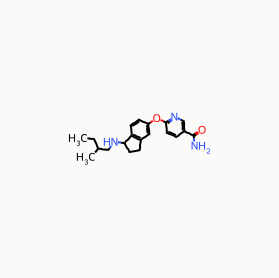 CCC(C)CNC1CCc2cc(Oc3ccc(C(N)=O)cn3)ccc21